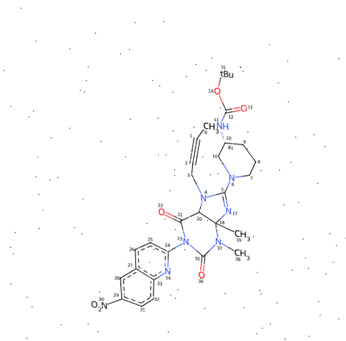 CC#CCN1C(N2CCC[C@@H](NC(=O)OC(C)(C)C)C2)=NC2(C)C1C(=O)N(c1ccc3cc([N+](=O)[O-])ccc3n1)C(=O)N2C